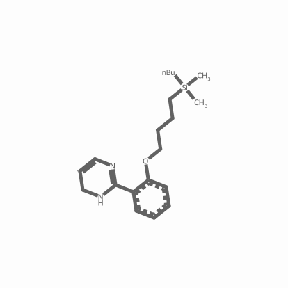 CCCC[Si](C)(C)CCCCOc1ccccc1C1=NC=[C]CN1